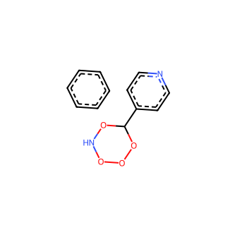 c1cc(C2ONOOO2)ccn1.c1ccccc1